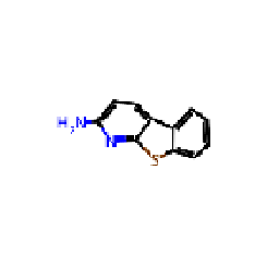 Nc1ccc2c(n1)sc1ccccc12